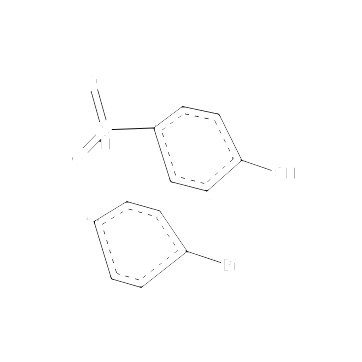 Brc1cc[c]cc1.Cc1ccc([SH](=O)=O)cc1